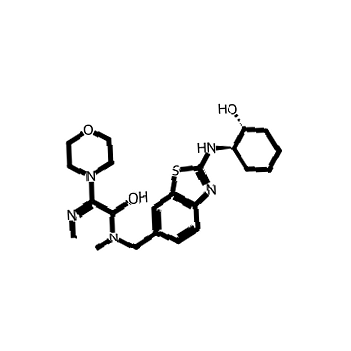 C/N=C(\C(O)N(C)Cc1ccc2nc(N[C@@H]3CCCC[C@H]3O)sc2c1)N1CCOCC1